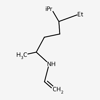 C=CNC(C)CCC(CC)C(C)C